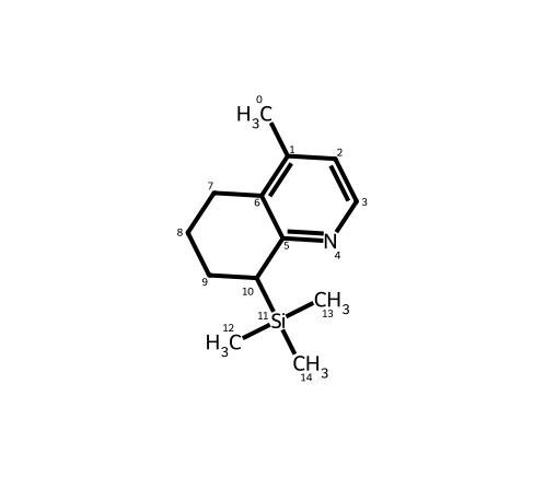 Cc1ccnc2c1CCCC2[Si](C)(C)C